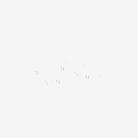 CC(C)(C)[Si](C)(C)On1c(-c2cccnc2N)nc2ccc(N3CCOCC3=O)nc21